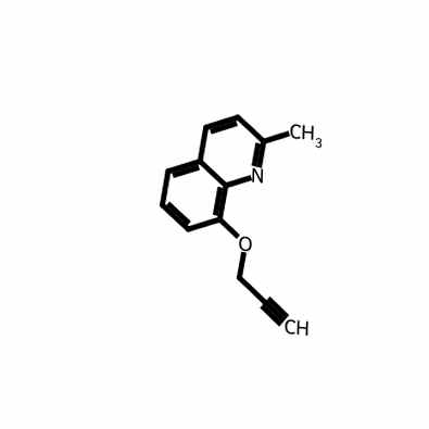 C#CCOc1cccc2ccc(C)nc12